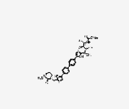 CCCN(C(=O)[C@@H](NC(=O)OC)C(C)C)[C@@H](C)c1ncc(-c2ccc(-c3ccc(-c4cnc(CN5CCC[C@@H](N)C5=O)[nH]4)cc3)cc2)[nH]1